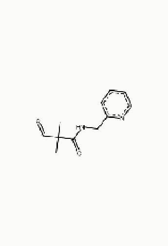 CC(C)([C]=O)C(=O)NCc1ccccn1